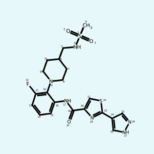 CS(=O)(=O)NCC1CCN(c2c(F)cccc2NC(=O)c2csc(-c3cn[nH]c3)n2)CC1